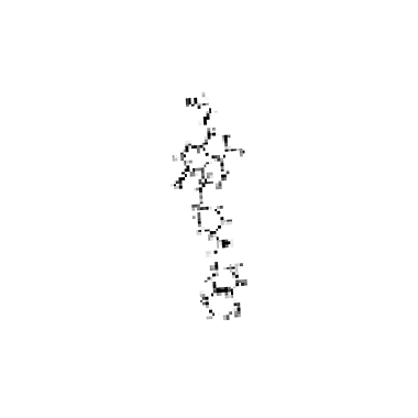 O=C(O)C=Cc1cc(F)c2c3c1ccc(=O)n3[C@H](CN1CCC(NCc3cc4c(cn3)OCCO4)CC1)CO2